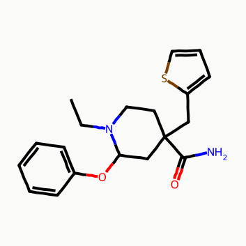 CCN1CCC(Cc2cccs2)(C(N)=O)CC1Oc1ccccc1